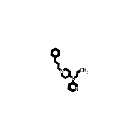 C=CCN(c1cccnc1)C1CCN(CCCc2ccccc2)CC1